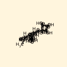 CCCCNC(=O)[C@H](Cc1ccccc1)NC(=O)COc1ccc(C[C@H](NC(=O)CNC(=O)CCC(C(=O)O)N2CCN(CC(=O)O)CCN(CC(=O)O)CCN(CC(=O)O)CC2)C(=O)NCC(=O)NC(P(=O)(O)O)P(=O)(O)O)cc1